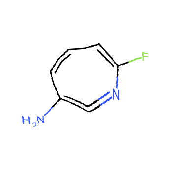 NC1=C=NC(F)=CC=C1